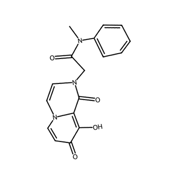 CN(C(=O)Cn1ccn2ccc(=O)c(O)c2c1=O)c1ccccc1